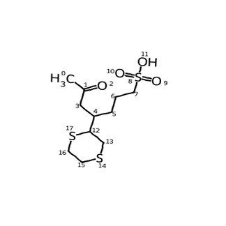 CC(=O)CC(CCCS(=O)(=O)O)C1CSCCS1